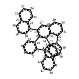 c1ccc(-c2cccc3ccccc23)c(-c2c(-c3cccc4ccccc34)cc3cccc4c3c2-c2ccccc2-4)c1